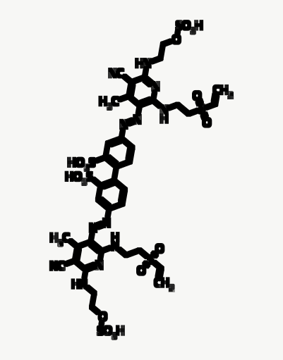 C=CS(=O)(=O)CCNc1nc(NCCOS(=O)(=O)O)c(C#N)c(C)c1/N=N/c1ccc(-c2ccc(/N=N/c3c(NCCS(=O)(=O)C=C)nc(NCCOS(=O)(=O)O)c(C#N)c3C)cc2S(=O)(=O)O)c(S(=O)(=O)O)c1